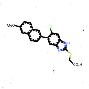 COc1ccc2cc(-c3cc4nc(SCC(=O)O)[nH]c4cc3Cl)ccc2c1